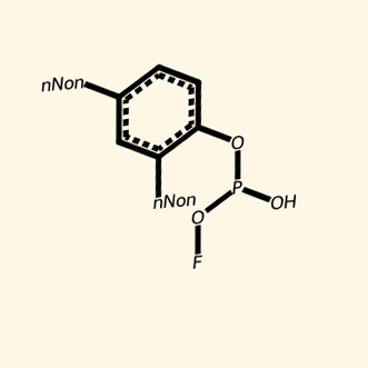 CCCCCCCCCc1ccc(OP(O)OF)c(CCCCCCCCC)c1